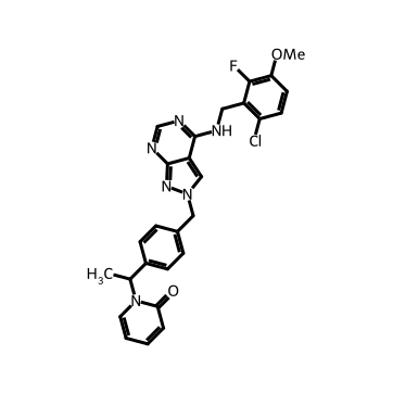 COc1ccc(Cl)c(CNc2ncnc3nn(Cc4ccc(C(C)n5ccccc5=O)cc4)cc23)c1F